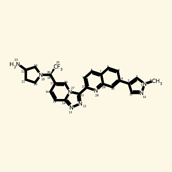 Cn1cc(-c2ccc3ccc(-c4nnc5ccc([C@@H](N6CCC(N)C6)C(F)(F)F)cn45)nc3c2)cn1